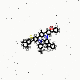 Cc1cc2c3c4c1c1cc5oc6ccccc6c5cc1n4-c1cc4c(cc1B3N(c1ccc(C(C)(C)C)cc1)c1cc3c(cc1-2)sc1cc2c(cc13)C(C)(C)CCC2(C)C)C(C)(C)c1ccccc1-4